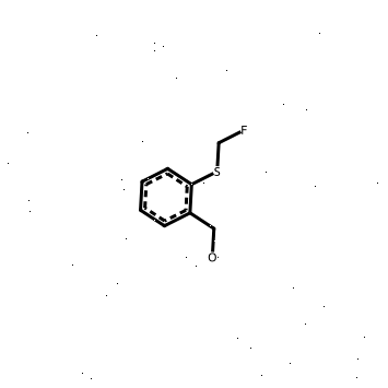 [O]Cc1ccccc1SCF